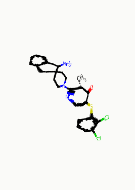 C[C@@H]1C(=O)C(Sc2cccc(Cl)c2Cl)=CN=C1N1CCC2(CC1)Cc1ccccc1C2N